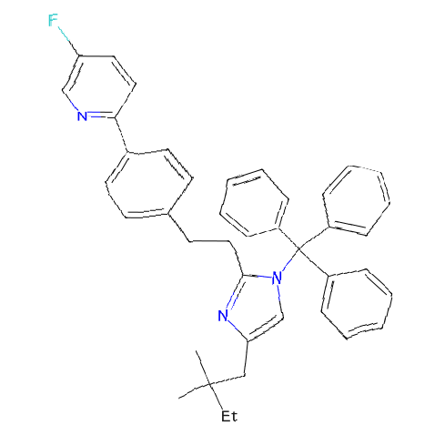 CCC(C)(C)Cc1cn(C(c2ccccc2)(c2ccccc2)c2ccccc2)c(CCc2ccc(-c3ccc(F)cn3)cc2)n1